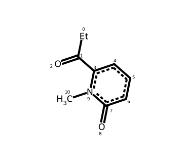 CCC(=O)c1cccc(=O)n1C